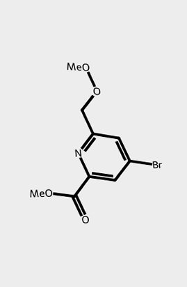 COOCc1cc(Br)cc(C(=O)OC)n1